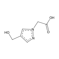 O=C(O)Cn1cc(CO)cn1